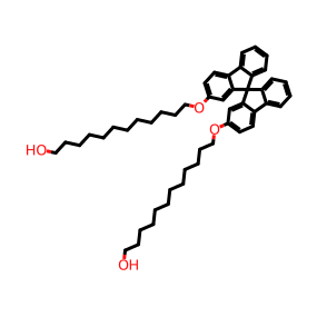 OCCCCCCCCCCCCOc1ccc2c(c1)C1(c3ccccc3-2)c2ccccc2-c2ccc(OCCCCCCCCCCCCO)cc21